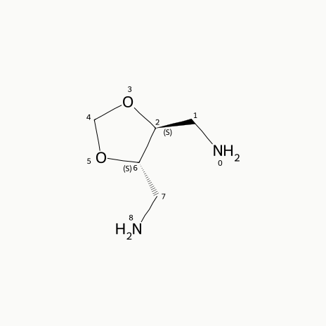 NC[C@@H]1OCO[C@H]1CN